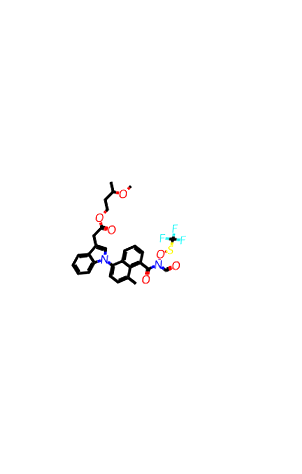 COC(C)CCOC(=O)Cc1cn(-c2ccc(C)c3c(C(=O)N(C=O)OSC(F)(F)F)cccc23)c2ccccc12